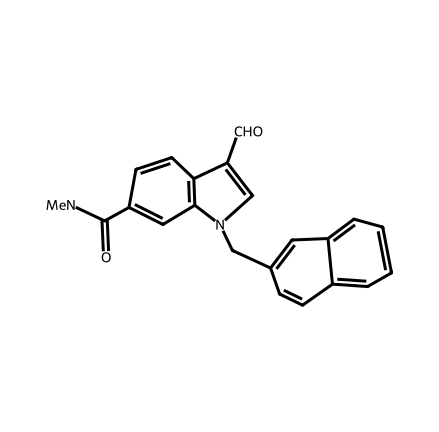 CNC(=O)c1ccc2c(C=O)cn(Cc3ccc4ccccc4c3)c2c1